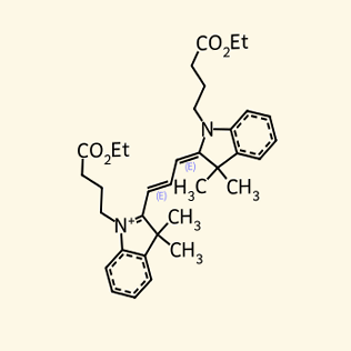 CCOC(=O)CCCN1/C(=C/C=C/C2=[N+](CCCC(=O)OCC)c3ccccc3C2(C)C)C(C)(C)c2ccccc21